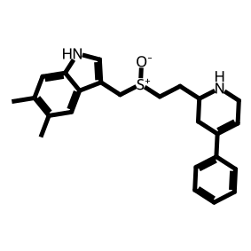 Cc1cc2[nH]cc(C[S+]([O-])CCC3CC(c4ccccc4)=CCN3)c2cc1C